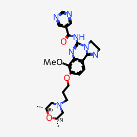 COc1c(OCCCN2C[C@@H](C)O[C@@H](C)C2)ccc2c1N=C(NC(=O)c1cncnc1)N1CCN=C21